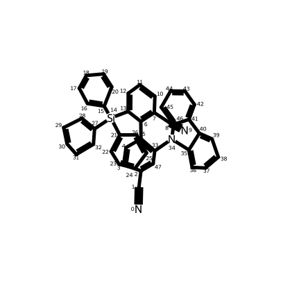 N#Cc1ccc(-c2c(C#N)cccc2[Si](c2ccccc2)(c2ccccc2)c2ccccc2)c(-n2c3ccccc3c3ccccc32)c1